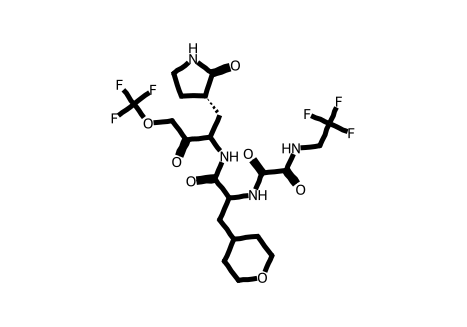 O=C(NCC(F)(F)F)C(=O)NC(CC1CCOCC1)C(=O)NC(C[C@@H]1CCNC1=O)C(=O)COC(F)(F)F